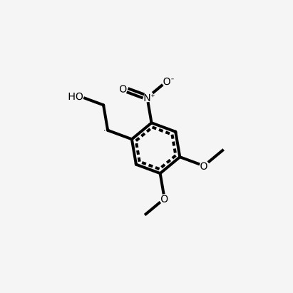 COc1cc([CH]CO)c([N+](=O)[O-])cc1OC